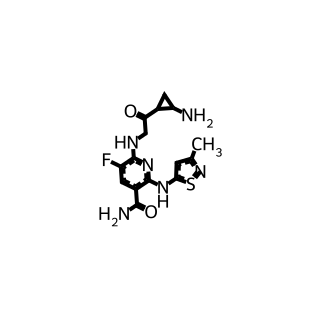 Cc1cc(Nc2nc(NCC(=O)C3CC3N)c(F)cc2C(N)=O)sn1